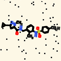 Cc1c(CNC(=O)c2cc(C3CC3)nn2C)cccc1NS(=O)(=O)c1ccc(C(=O)O)cc1